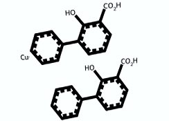 O=C(O)c1cccc(-c2ccccc2)c1O.O=C(O)c1cccc(-c2ccccc2)c1O.[Cu]